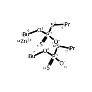 CCC(C)OP([O-])(=S)SC(C)C.CCC(C)OP([O-])(=S)SC(C)C.[Zn+2]